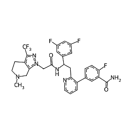 CN1CCc2c(C(F)(F)F)nn(CC(=O)NC(Cc3ncccc3-c3ccc(F)c(C(N)=O)c3)c3cc(F)cc(F)c3)c2C1